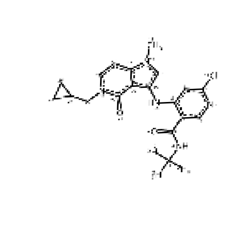 [2H]C([2H])([2H])NC(=O)c1cnc(Cl)cc1Nc1cn(C)c2ccn(CC3CC3)c(=O)c12